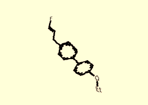 CCOc1ccc(-c2ccc(CC=CF)cc2)cc1